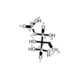 C=CC(O)(P(=O)(O)O)P(=O)(O)O[PH](=O)O